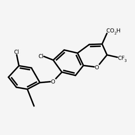 Cc1ccc(Cl)cc1Oc1cc2c(cc1Cl)C=C(C(=O)O)C(C(F)(F)F)O2